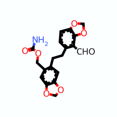 NC(=O)OCc1cc2c(cc1CCc1ccc3c(c1C=O)OCO3)OCO2